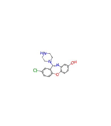 Oc1ccc2c(c1)N=C(N1CCNCC1)c1cc(Cl)ccc1O2